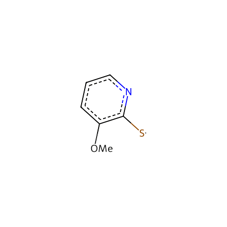 COc1cccnc1[S]